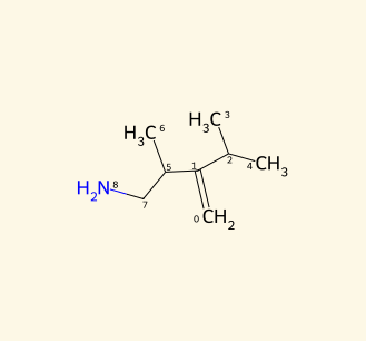 C=C(C(C)C)C(C)CN